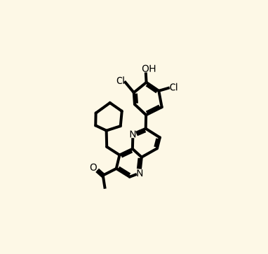 CC(=O)c1cnc2ccc(-c3cc(Cl)c(O)c(Cl)c3)nc2c1CC1CCCCC1